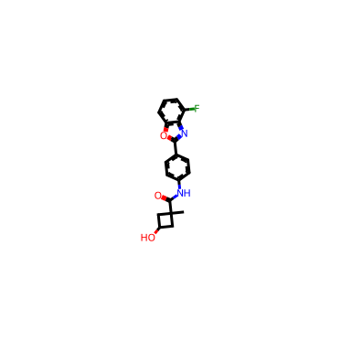 CC1(C(=O)Nc2ccc(-c3nc4c(F)cccc4o3)cc2)CC(O)C1